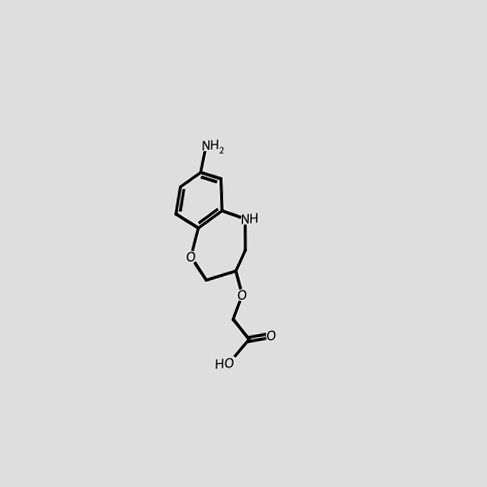 Nc1ccc2c(c1)NCC(OCC(=O)O)CO2